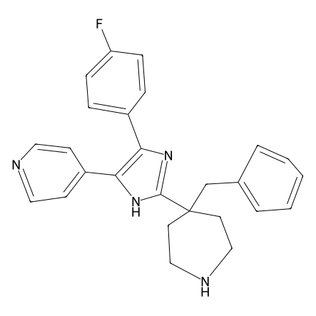 Fc1ccc(-c2nc(C3(Cc4ccccc4)CCNCC3)[nH]c2-c2ccncc2)cc1